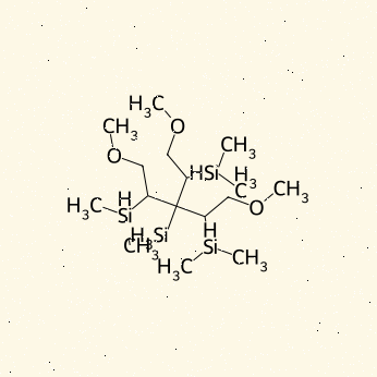 COCC([SiH](C)C)C([SiH3])(C(COC)[SiH](C)C)C(COC)[SiH](C)C